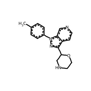 Cc1ccc(-n2nc(C3CNCCO3)c3ccncc32)cc1